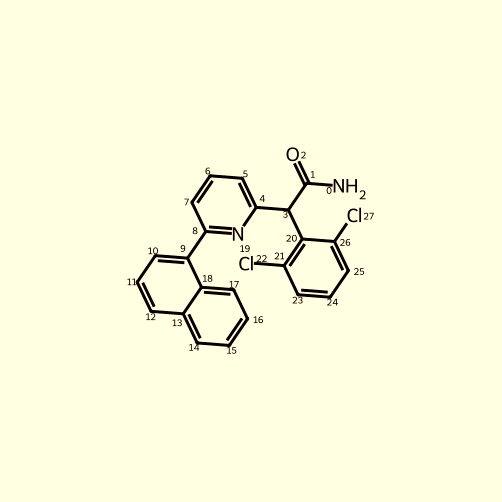 NC(=O)C(c1cccc(-c2cccc3ccccc23)n1)c1c(Cl)cccc1Cl